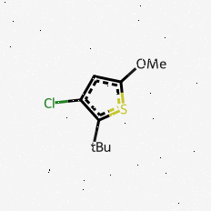 COc1cc(Cl)c(C(C)(C)C)s1